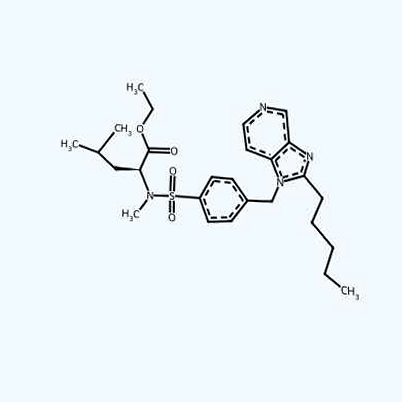 CCCCCc1nc2cnccc2n1Cc1ccc(S(=O)(=O)N(C)[C@@H](CC(C)C)C(=O)OCC)cc1